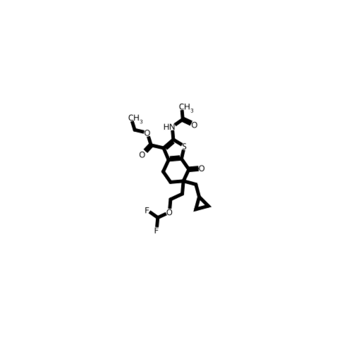 CCOC(=O)c1c(NC(C)=O)sc2c1CCC(CCOC(F)F)(CC1CC1)C2=O